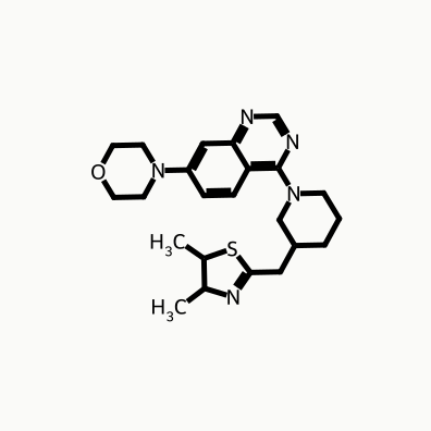 CC1N=C(CC2CCCN(c3ncnc4cc(N5CCOCC5)ccc34)C2)SC1C